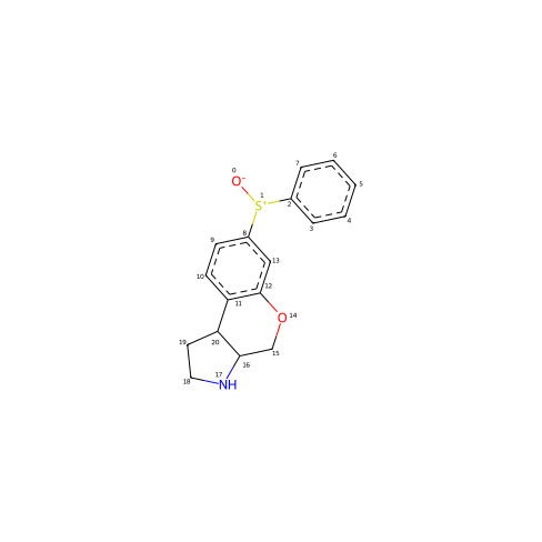 [O-][S+](c1ccccc1)c1ccc2c(c1)OCC1NCCC21